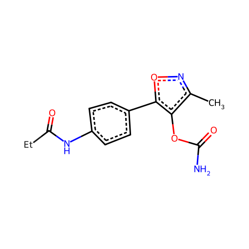 CCC(=O)Nc1ccc(-c2onc(C)c2OC(N)=O)cc1